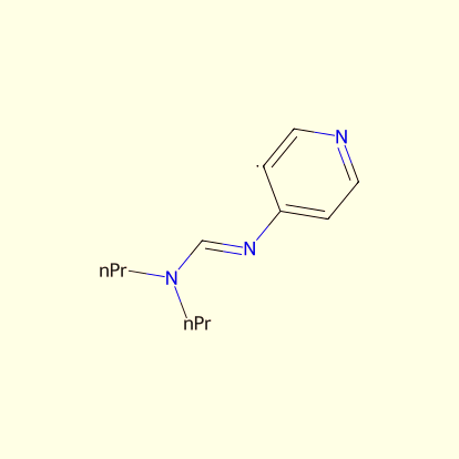 CCCN(C=Nc1[c]cncc1)CCC